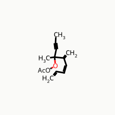 C=C/C=C\C(=C)C(C)(C#CC)OOC(C)=O